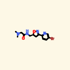 CN(C)CC(=O)NC[C@@H]1CC(c2ccc(Br)cn2)=NO1